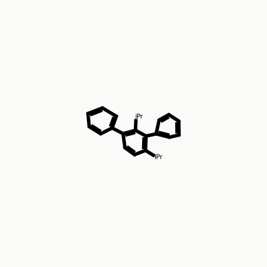 CC(C)c1[c]cc(-c2ccccc2)c(C(C)C)c1-c1ccccc1